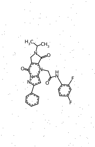 CC(C)N1Cc2c(n(CC(=O)Nc3ccc(F)cc3F)c3cc(-c4ccccc4)nn3c2=O)C1=O